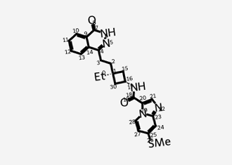 CC[C@]1(CCc2n[nH]c(=O)c3ccccc23)C[C@H](NC(=O)c2cnc3cc(SC)ccn23)C1